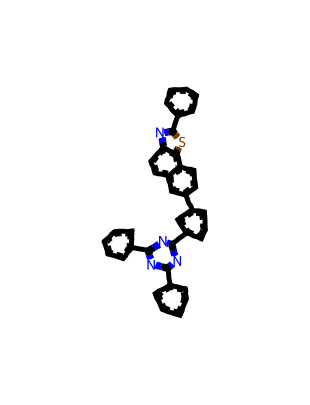 c1ccc(-c2nc(-c3ccccc3)nc(-c3cccc(-c4ccc5c(ccc6nc(-c7ccccc7)sc65)c4)c3)n2)cc1